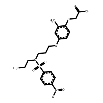 CCCN(CCCSc1ccc(OCC(=O)O)c(C)c1)S(=O)(=O)c1ccc([N+](=O)[O-])cc1